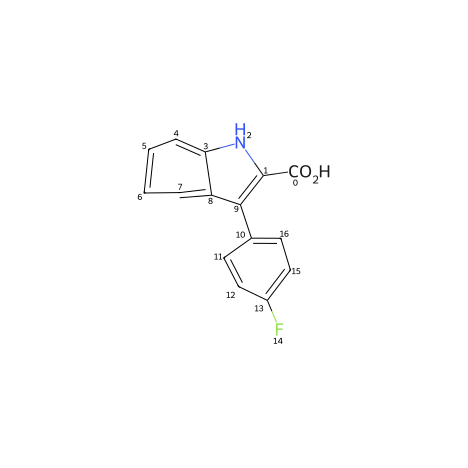 O=C(O)c1[nH]c2ccccc2c1-c1ccc(F)cc1